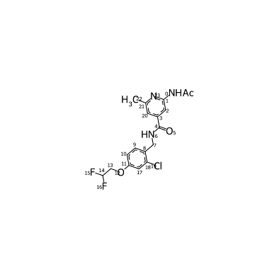 CC(=O)Nc1cc(C(=O)NCc2ccc(OCC(F)F)cc2Cl)cc(C)n1